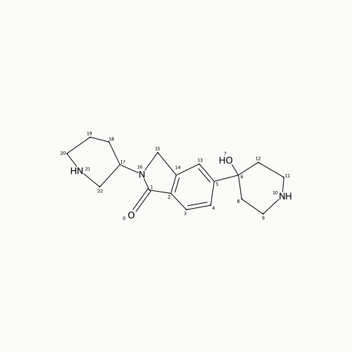 O=C1c2ccc(C3(O)CCNCC3)cc2CN1C1CCCNC1